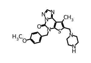 COc1ccc(Cn2c(=O)n3ncnc3c3c(C)c(CN4CCNCC4)sc32)cc1